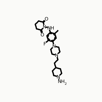 Cc1cc(N2CCN(CCC3CCN(N)CC3)CC2)c(F)cc1NN1C(=O)CCCC1=O